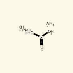 O=[Si](O)O.[AlH3].[KH].[NaH]